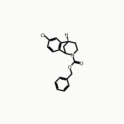 O=C(OCc1ccccc1)N1CC[C@@H]2CC1c1ccc(Cl)cc12